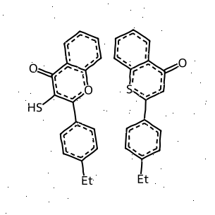 CCc1ccc(-c2cc(=O)c3ccccc3s2)cc1.CCc1ccc(-c2oc3ccccc3c(=O)c2S)cc1